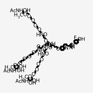 CC(=O)NC[C@H](C)O[C@@H](CO)COCCOCCOCCOCCNC(=O)CCOCC(COCCC(=O)NCCOCCOCCOCCOC[C@H]1O[C@@H](C)[C@H](NC(C)=O)[C@@H](O)[C@H]1O)(COCCC(=O)NCCOCCOCCOCCOC[C@H]1O[C@@H](C)[C@H](NC(C)=O)[C@@H](O)[C@H]1O)NC(=O)CCCOc1ccc2nc(-c3cn(-c4ccc(O)c(F)c4)nn3)ccc2c1